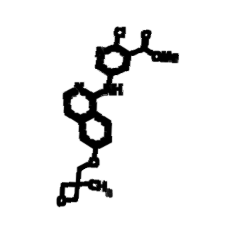 COC(=O)c1cc(Nc2nccc3cc(OCC4(C)COC4)ccc23)cnc1Cl